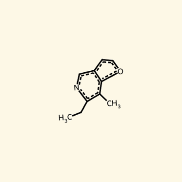 CCc1ncc2ccoc2c1C